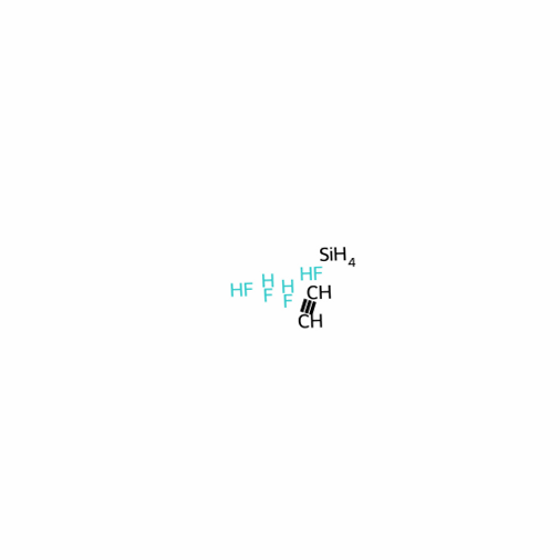 C#C.F.F.F.F.[SiH4]